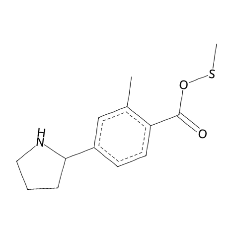 CSOC(=O)c1ccc(C2CCCN2)cc1C